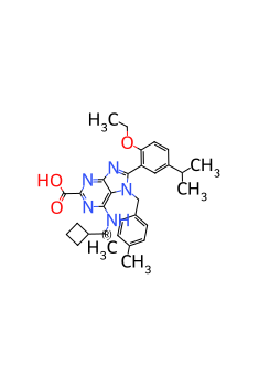 CCOc1ccc(C(C)C)cc1-c1nc2nc(C(=O)O)nc(N[C@H](C)C3CCC3)c2n1Cc1ccc(C)cc1